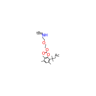 CC(=O)CC(C)(C)c1c(C)cc(C)c(C)c1OC(=O)OCCOCCNC(C)(C)C